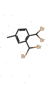 Cc1ccc(C(Br)Br)c(C(Br)Br)c1